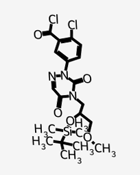 COCC(Cn1c(=O)cnn(-c2ccc(Cl)c(C(=O)Cl)c2)c1=O)O[Si](C)(C)C(C)(C)C